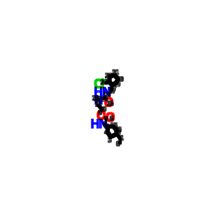 CCc1ccc(NC(=O)OCCN(C)C(=O)NCc2ccccc2Cl)cc1